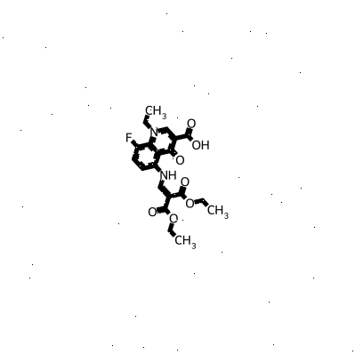 CCOC(=O)C(=CNc1ccc(F)c2c1c(=O)c(C(=O)O)cn2CC)C(=O)OCC